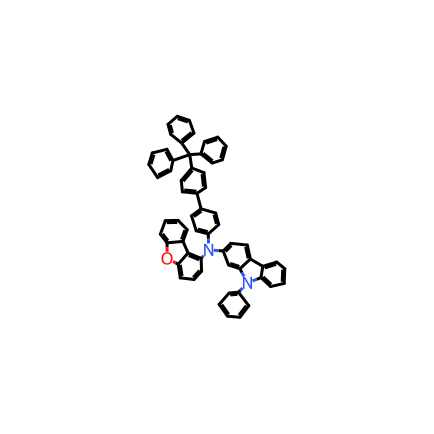 c1ccc(-n2c3ccccc3c3ccc(N(c4ccc(-c5ccc(C(c6ccccc6)(c6ccccc6)c6ccccc6)cc5)cc4)c4cccc5oc6ccccc6c45)cc32)cc1